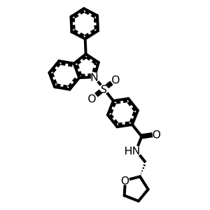 O=C(NC[C@@H]1CCCO1)c1ccc(S(=O)(=O)n2cc(-c3ccccc3)c3ccccc32)cc1